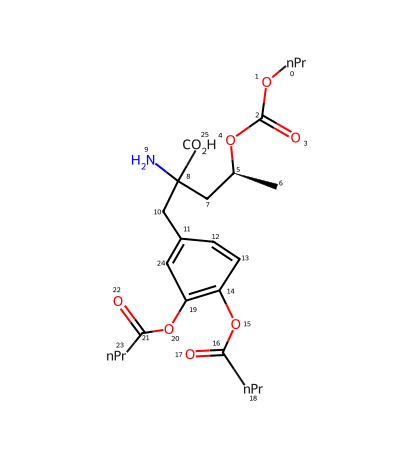 CCCOC(=O)O[C@@H](C)CC(N)(Cc1ccc(OC(=O)CCC)c(OC(=O)CCC)c1)C(=O)O